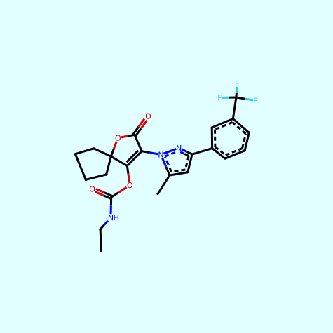 CCNC(=O)OC1=C(n2nc(-c3cccc(C(F)(F)F)c3)cc2C)C(=O)OC12CCCC2